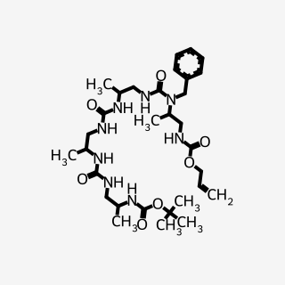 C=CCOC(=O)NCC(C)N(Cc1ccccc1)C(=O)NCC(C)NC(=O)NCC(C)NC(=O)NCC(C)NC(=O)OC(C)(C)C